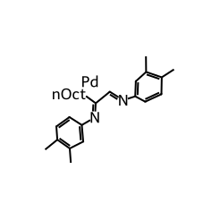 CCCCCCCCC(C=Nc1ccc(C)c(C)c1)=Nc1ccc(C)c(C)c1.[Pd]